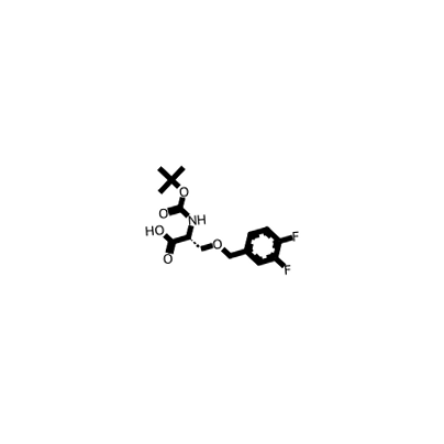 CC(C)(C)OC(=O)N[C@H](COCc1ccc(F)c(F)c1)C(=O)O